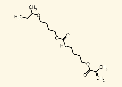 C=C(C)C(=O)OCCCCNC(=O)OCCCCOC(C)CC